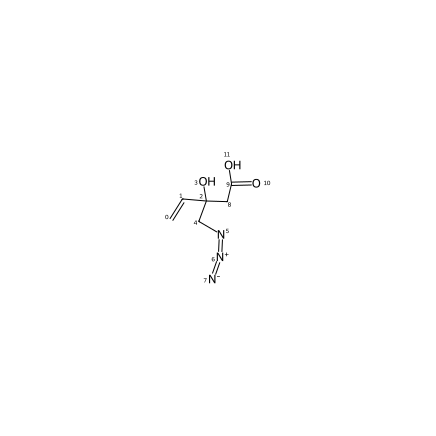 C=CC(O)(CN=[N+]=[N-])CC(=O)O